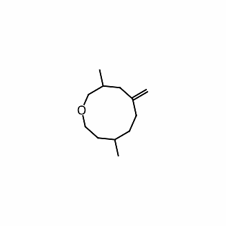 C=C1CCC(C)CCOCC(C)C1